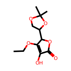 CCOC1=C(O)C(=O)OC1C1COC(C)(C)O1